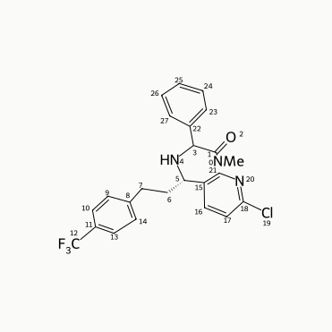 CNC(=O)C(N[C@@H](CCc1ccc(C(F)(F)F)cc1)c1ccc(Cl)nc1)c1ccccc1